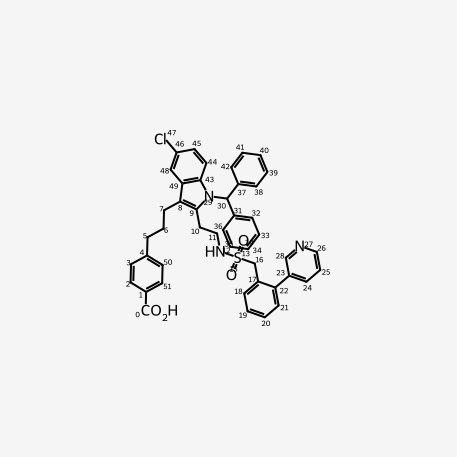 O=C(O)c1ccc(CCCc2c(CCNS(=O)(=O)Cc3ccccc3-c3cccnc3)n(C(c3ccccc3)c3ccccc3)c3ccc(Cl)cc23)cc1